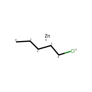 CCCCCCl.[Zn]